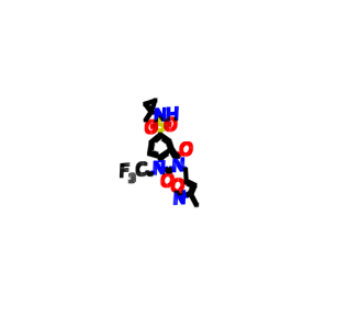 Cc1cc(Cn2c(=O)c3cc(S(=O)(=O)NC4(C)CC4)ccc3n(CC(F)(F)F)c2=O)on1